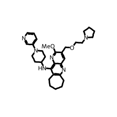 COc1nc2c(NC3CCN(c4cccnc4)CC3)c3c(nc2cc1COCCN1CCCC1)CCCCC3